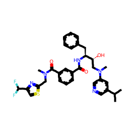 CC(C)c1cncc(N(C)C[C@@H](O)[C@H](Cc2ccccc2)NC(=O)c2cccc(C(=O)N(C)Cc3nc(C(F)F)cs3)c2)c1